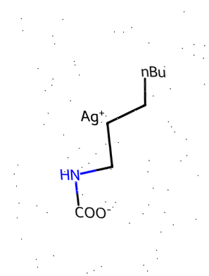 CCCCCCCNC(=O)[O-].[Ag+]